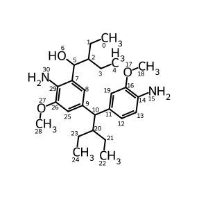 CCC(CC)C(O)c1cc(C(c2ccc(N)c(OC)c2)C(CC)CC)cc(OC)c1N